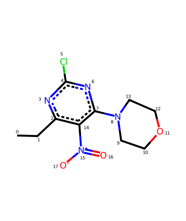 CCc1nc(Cl)nc(N2CCOCC2)c1[N+](=O)[O-]